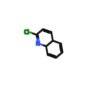 ClC1=NC2C=CC=CC2C=C1